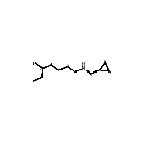 CCC(C)CCCCNCC1CC1